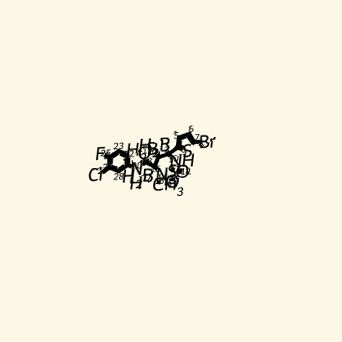 BC1[C@](B)(c2ccc(Br)s2)NS(=O)(=O)N(C)[C@]1(B)C(=O)Nc1ccc(F)c(Cl)c1